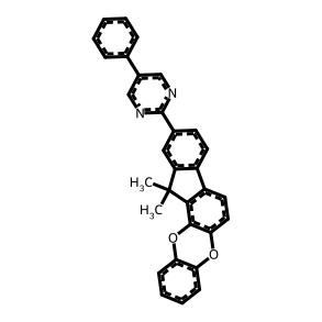 CC1(C)c2cc(-c3ncc(-c4ccccc4)cn3)ccc2-c2ccc3c(c21)Oc1ccccc1O3